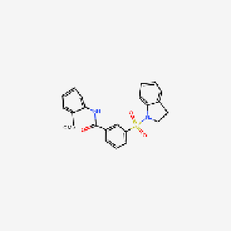 COc1ccccc1NC(=O)c1cccc(S(=O)(=O)N2CCc3ccccc32)c1